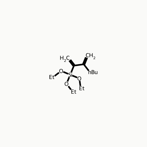 C=C(CCCC)C(=C)[Si](OCC)(OCC)OCC